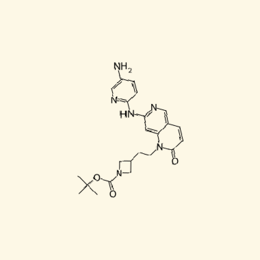 CC(C)(C)OC(=O)N1CC(CCn2c(=O)ccc3cnc(Nc4ccc(N)cn4)cc32)C1